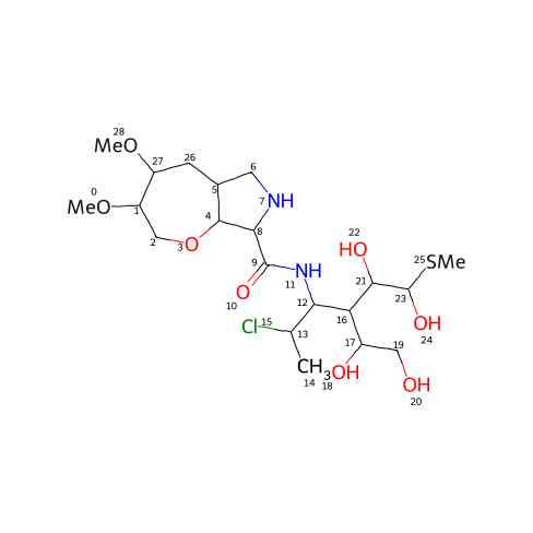 COC1COC2C(CNC2C(=O)NC(C(C)Cl)C(C(O)CO)C(O)C(O)SC)CC1OC